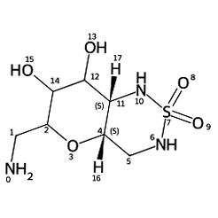 NCC1O[C@H]2CNS(=O)(=O)N[C@H]2C(O)C1O